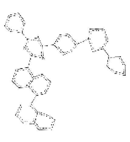 c1ccc(-c2cccc(-c3ccc(-c4nc(-c5ccccc5)nc(-c5cccc6c(-c7cccc8ccccc78)cccc56)n4)cc3)c2)cc1